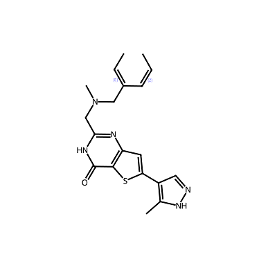 C/C=C\C(=C/C)CN(C)Cc1nc2cc(-c3cn[nH]c3C)sc2c(=O)[nH]1